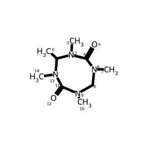 CC1N(C)C(=O)N(C)CN(C)C(=O)N1C